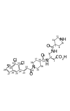 O=C(O)C[C@H](CNC(=O)C1CCNCC1)NC(=O)C1CCN(C(=O)/C=C/c2cc3ccsc3c(Cl)c2Cl)CC1